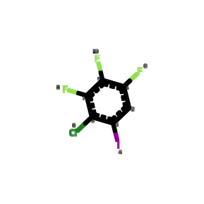 Fc1cc(I)c(Cl)c(F)c1F